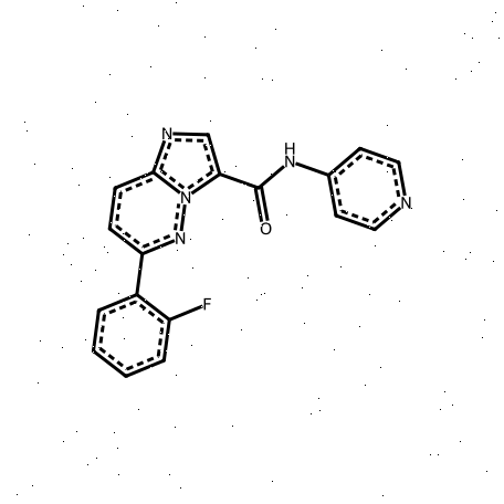 O=C(Nc1ccncc1)c1cnc2ccc(-c3ccccc3F)nn12